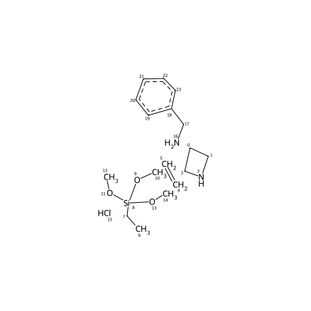 C1CNC1.C=C.CC[Si](OC)(OC)OC.Cl.NCc1ccccc1